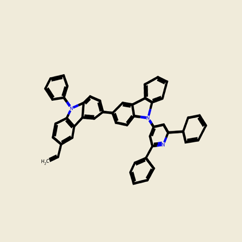 C=Cc1ccc2c(c1)c1cc(-c3ccc4c(c3)c3ccccc3n4C3=CC(c4ccccc4)=NC(C4C=CC=CC4)C3)ccc1n2-c1ccccc1